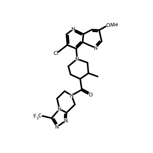 COc1cnc2c(N3CCC(C(=O)N4CCn5c(nnc5C(F)(F)F)C4)C(C)C3)c(Cl)cnc2c1